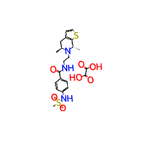 C[C@H]1Cc2ccsc2[C@H](C)N1CCNC(=O)c1ccc(NS(C)(=O)=O)cc1.O=C(O)C(=O)O